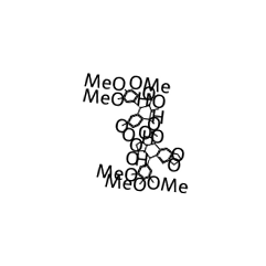 COc1cc([C@@H]2c3cc4c(cc3[C@H](OC(=O)O[C@H]3c5cc6c(cc5[C@@H](c5cc(OC)c(OC)c(OC)c5)[C@@H]5C(=O)OC[C@@H]53)OCO6)[C@H]3COC(=O)[C@@H]23)OCO4)cc(OC)c1OC